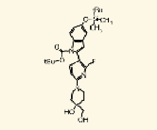 CC(C)(C)OC(=O)n1c(-c2ccc(N3CCC(O)(CO)CC3)nc2F)cc2cc(O[Si](C)(C)C(C)(C)C)ccc21